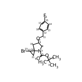 CC(C)(C)OC(=O)N1CC(OCc2ccc(F)cc2)CC12CC2Br